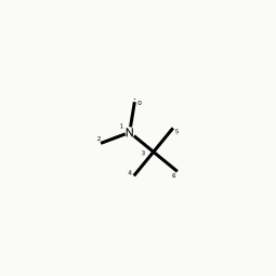 [CH2]N(C)C(C)(C)C